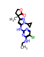 CCNc1nc(Nc2cc([C@@]3(C)CCOC3=O)nn2C2CC2)ncc1Br